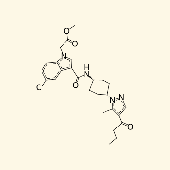 CCCC(=O)c1cnn([C@H]2CC[C@H](NC(=O)c3cn(CC(=O)OC)c4ccc(Cl)cc34)CC2)c1C